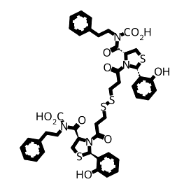 O=C(O)N(CCc1ccccc1)C(=O)[C@@H]1CS[C@H](c2ccccc2O)N1C(=O)CCSSCCC(=O)N1[C@@H](c2ccccc2O)SC[C@H]1C(=O)N(CCc1ccccc1)C(=O)O